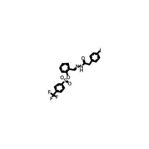 O=C(Cc1ccc(I)cc1)N/N=C/c1ccccc1OS(=O)(=O)c1ccc(C(F)(F)F)cc1